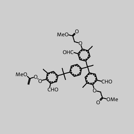 C=C(OC)OOc1c(C)cc(C(C)(C)c2ccc(C(C)(c3cc(C)c(OCC(=O)OC)c(C=O)c3)c3cc(C)c(OCC(=O)OC)c(C=O)c3)cc2)cc1C=O